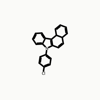 Clc1ccc(-n2c3c(c4ccccc42)C2C=CC=CC2C=C3)cc1